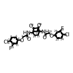 O=C(COc1ccc(Cl)c(F)c1)NC12CCC(NC(=O)COc3ccc(Cl)c(F)c3)(CC1=O)C(=O)C2